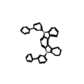 c1ccc(-c2cccc(-n3c4c(c5c6c7ccccc7n(-c7cccc(-c8ccccc8)c7)c6ccc53)CCCC4)c2)cc1